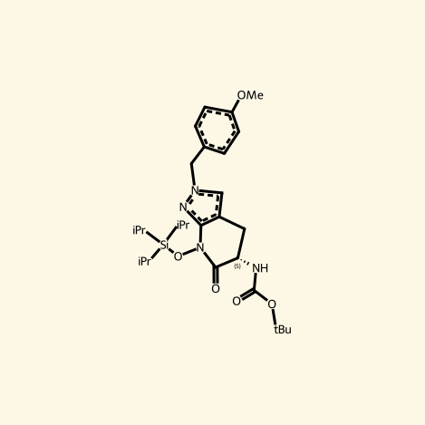 COc1ccc(Cn2cc3c(n2)N(O[Si](C(C)C)(C(C)C)C(C)C)C(=O)[C@@H](NC(=O)OC(C)(C)C)C3)cc1